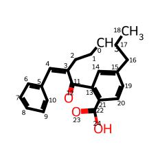 CCCC(=Cc1ccccc1)C(=O)c1cc(CCC)ccc1C(=O)O